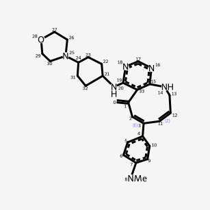 C=C1/C=C(c2ccc(NC)cc2)\C=C/CNc2ncnc(NC3CCC(N4CCOCC4)CC3)c21